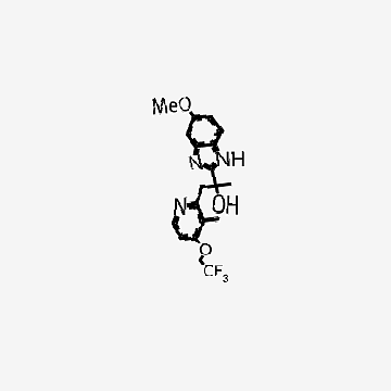 COc1ccc2[nH]c(C(C)(O)Cc3nccc(OCC(F)(F)F)c3C)nc2c1